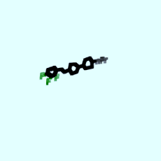 CCCC1CCC(C2CCC(CCc3ccc(F)c(F)c3F)CC2)CC1